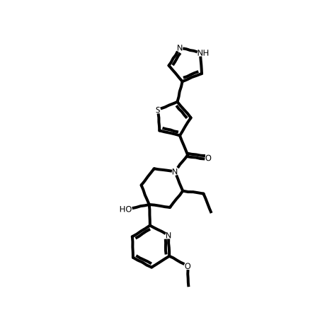 CCC1CC(O)(c2cccc(OC)n2)CCN1C(=O)c1csc(-c2cn[nH]c2)c1